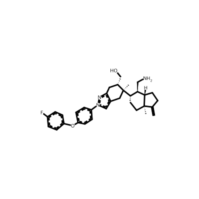 C=C1CC[C@H]2[C@H](CN)[C@@H]([C@@]3(C)Cc4cn(-c5ccc(Oc6ccc(F)cc6)cc5)nc4C[C@@H]3CO)CC[C@]12C